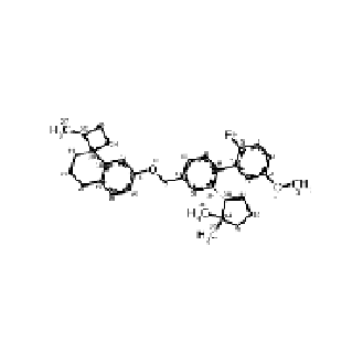 COc1ccc(F)c(-c2ccc(COc3ccc4c(c3)[C@@]3(CCC4)CC[C@@H]3C)cc2[C@@H]2CCCC2(C)C)c1